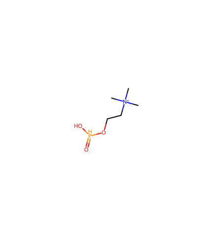 C[N+](C)(C)CCO[PH](=O)O